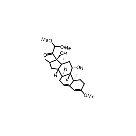 COC1=CC2=CC[C@H]3[C@@H]4CC(C)[C@](O)(C(=O)C(OC)OC)[C@@]4(C)C[C@H](O)[C@]3(F)[C@@]2(C)CC1